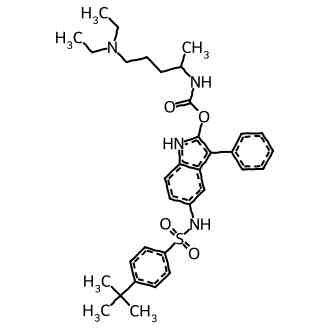 CCN(CC)CCCC(C)NC(=O)Oc1[nH]c2ccc(NS(=O)(=O)c3ccc(C(C)(C)C)cc3)cc2c1-c1ccccc1